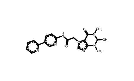 CN1C(=O)c2c(ncn2CC(=O)Nc2ccc(-c3ccccn3)cn2)N(C)C1O